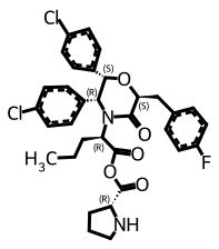 CCC[C@H](C(=O)OC(=O)[C@H]1CCCN1)N1C(=O)[C@H](Cc2ccc(F)cc2)O[C@@H](c2ccc(Cl)cc2)[C@H]1c1ccc(Cl)cc1